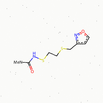 CNC(=O)NSCCSCc1ccon1